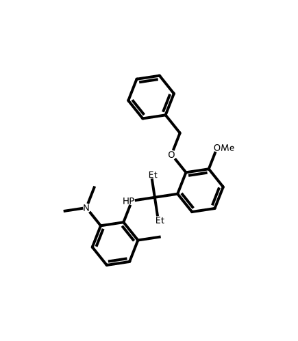 CCC(CC)(Pc1c(C)cccc1N(C)C)c1cccc(OC)c1OCc1ccccc1